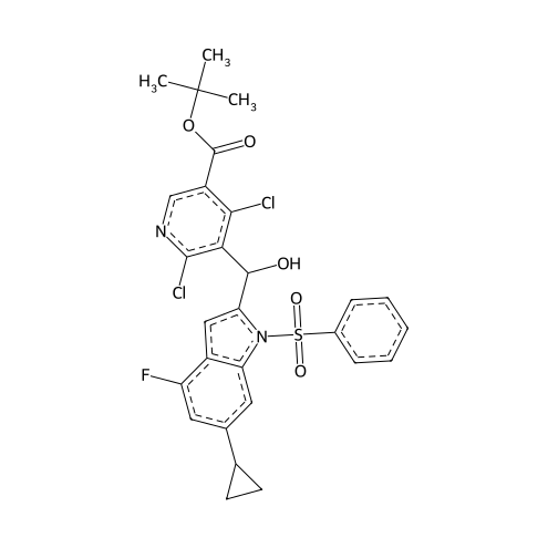 CC(C)(C)OC(=O)c1cnc(Cl)c(C(O)c2cc3c(F)cc(C4CC4)cc3n2S(=O)(=O)c2ccccc2)c1Cl